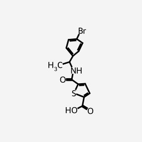 CC(NC(=O)c1ccc(C(=O)O)s1)c1ccc(Br)cc1